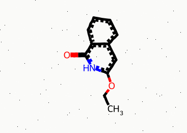 CCOc1cc2ccccc2c(=O)[nH]1